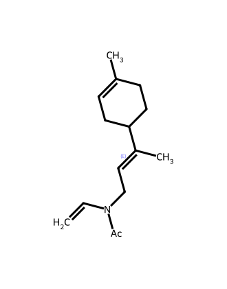 C=CN(C/C=C(\C)C1CC=C(C)CC1)C(C)=O